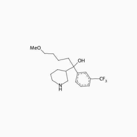 COCCCCC(O)(c1cccc(C(F)(F)F)c1)C1CCCNC1